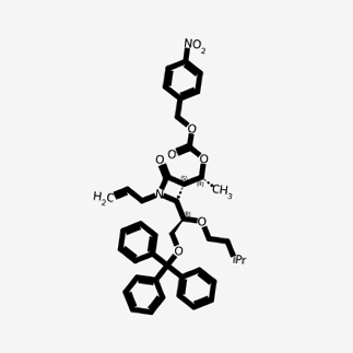 C=CCN1C(=O)[C@H]([C@@H](C)OC(=O)OCc2ccc([N+](=O)[O-])cc2)C1[C@H](COC(c1ccccc1)(c1ccccc1)c1ccccc1)OCCC(C)C